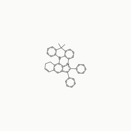 CC1(C)c2ccccc2B2c3c(cccc31)-n1c(-c3ccccc3)c(-c3ccccc3)c3cc4c(c2c31)CCC=C4